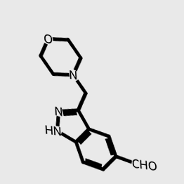 O=Cc1ccc2[nH]nc(CN3CCOCC3)c2c1